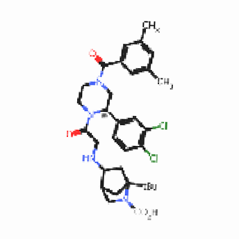 Cc1cc(C)cc(C(=O)N2CCN(C(=O)CNC3CC4(C(C)(C)C)CC3CN4C(=O)O)[C@H](c3ccc(Cl)c(Cl)c3)C2)c1